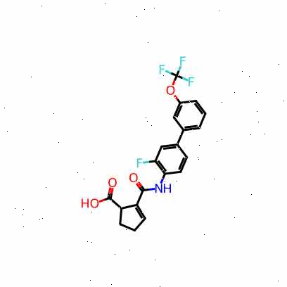 O=C(Nc1ccc(-c2cccc(OC(F)(F)F)c2)cc1F)C1=CCCC1C(=O)O